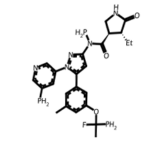 CC[C@H]1C(=O)NC[C@@H]1C(=O)N(P)c1cc(-c2cc(C)cc(OC(C)(F)P)c2)n(-c2cncc(P)c2)n1